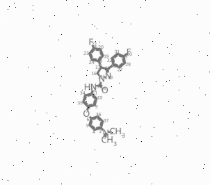 CN(C)c1ccc(Oc2ccc(NC(=O)N3CC(c4ccc(F)cc4)C(c4ccc(F)cc4)=N3)cc2)cc1